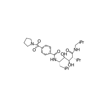 CC(C)CNC(=O)[C@H](C(C)C)[C@@H](O)[C@H](O)[C@H](CC(C)C)NC(=O)c1ccc(S(=O)(=O)N2CCCC2)cc1